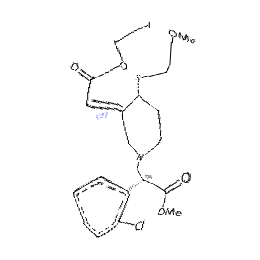 COCSC1CCN([C@H](C(=O)OC)c2ccccc2Cl)C/C1=C/C(=O)OCI